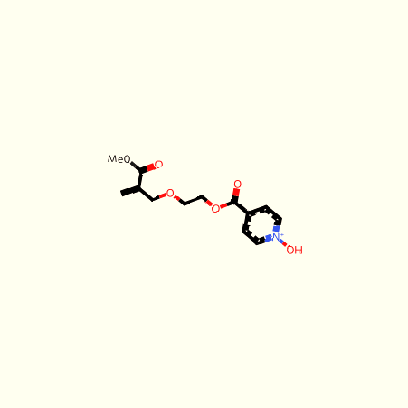 C=C(COCCOC(=O)c1cc[n+](O)cc1)C(=O)OC